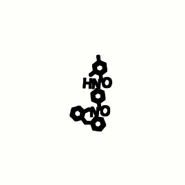 Cc1ccc(C(=O)Nc2ccc(C(=O)N3Cc4ccccc4Cc4ccccc43)cc2)c(C)c1